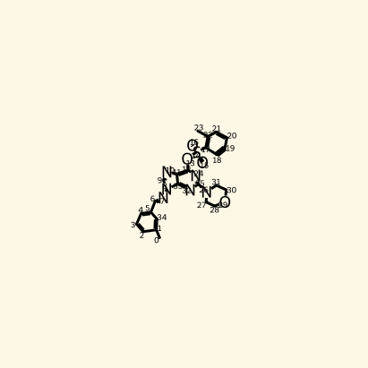 Cc1cccc(C=Nn2cnc3c(OS(=O)(=O)c4c#cccc4C)nc(N4CCOCC4)nc32)c1